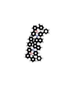 Cc1ccccc1-c1cccc2c1oc1c(N(c3ccc(C4CCCCC4)cc3)c3cc4c(c5ccccc35)-c3c(cc(N(c5ccc(C6CCCCC6)cc5)c5cccc6c5oc5c(-c7ccccc7C)cccc56)c5ccccc35)C4(c3ccccc3)c3ccccc3)cccc12